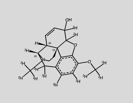 [2H]c1c([2H])c2c3c(c1OC([2H])([2H])[2H])OC1([2H])C([2H])(O)C=C[C@@H]4[C@@]31CCN(C([2H])([2H])[2H])[C@]4([2H])C2([2H])[2H]